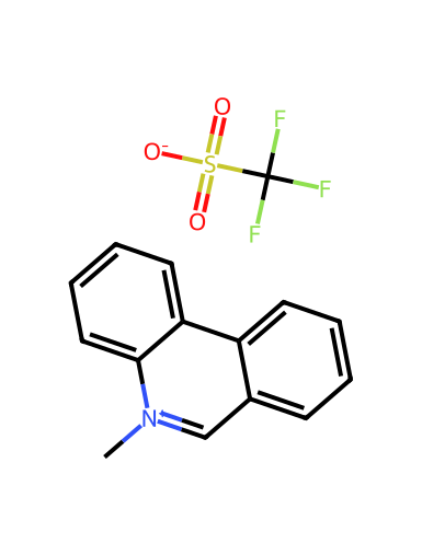 C[n+]1cc2ccccc2c2ccccc21.O=S(=O)([O-])C(F)(F)F